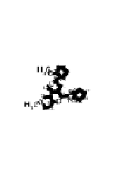 COc1ccccc1-c1cccc(C(OC2CCN(C)CC2)c2nc3ccccc3s2)c1